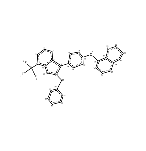 FC(F)(F)c1cccc2c(-c3ccc(Oc4cccc5cccnc45)cc3)n(Cc3ccccc3)nc12